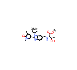 COCC(C)n1c(-c2cc(C)c(=O)n(C)c2)nc2ccc(CN[C@H](C(=O)OC(C)C)[C@@H](C)O)cc21